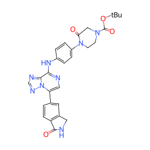 CC(C)(C)OC(=O)N1CCN(c2ccc(Nc3ncc(-c4ccc5c(c4)CNC5=O)n4ncnc34)cc2)C(=O)C1